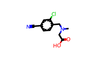 CN(CC(=O)O)Cc1ccc(C#N)cc1Cl